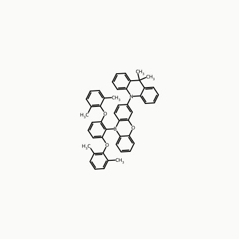 Cc1cccc(C)c1Oc1cccc(Oc2c(C)cccc2C)c1B1c2ccccc2Oc2cc(N3c4ccccc4C(C)(C)c4ccccc43)ccc21